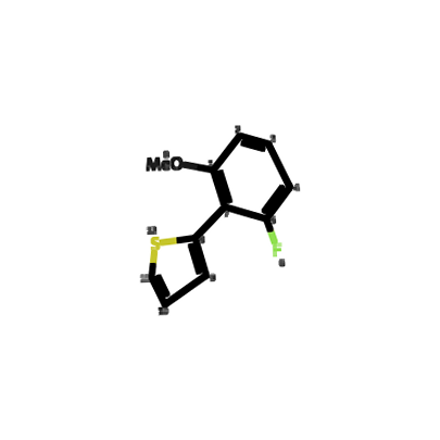 COc1cccc(F)c1-c1cc[c]s1